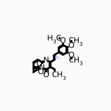 CCc1c(/C=C/c2cc(OC)c(OC)c(OC)c2)nc2n(c1=O)C1CC1(C(=O)O)C=C2